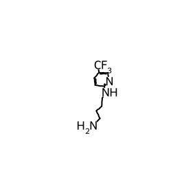 NCCCCNc1ccc(C(F)(F)F)cn1